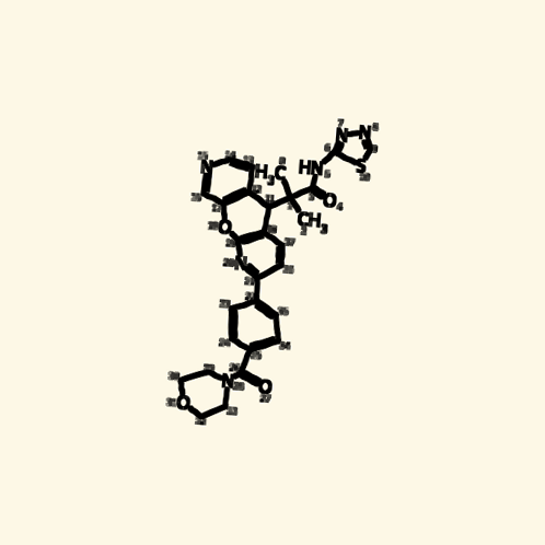 CC(C)(C(=O)Nc1nncs1)C1c2ccncc2Oc2nc(-c3ccc(C(=O)N4CCOCC4)cc3)ccc21